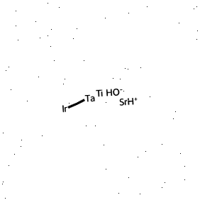 [OH-].[SrH+].[Ta][Ir].[Ti]